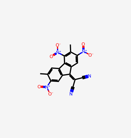 Cc1cc2c(cc1[N+](=O)[O-])C(=C(C#N)C#N)c1cc([N+](=O)[O-])c(C)c([N+](=O)[O-])c1-2